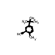 C#Cc1cc(C(C)(C)C)ccc1[CH2]